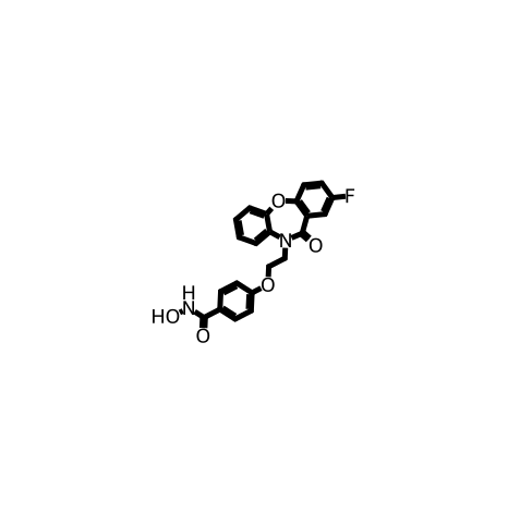 O=C(NO)c1ccc(OCCN2C(=O)c3cc(F)ccc3Oc3ccccc32)cc1